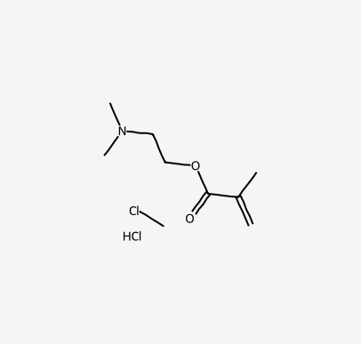 C=C(C)C(=O)OCCN(C)C.CCl.Cl